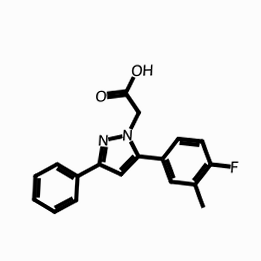 Cc1cc(-c2cc(-c3ccccc3)nn2CC(=O)O)ccc1F